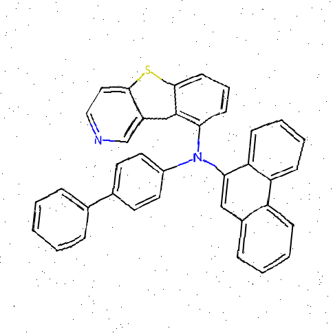 c1ccc(-c2ccc(N(c3cc4ccccc4c4ccccc34)c3cccc4sc5ccncc5c34)cc2)cc1